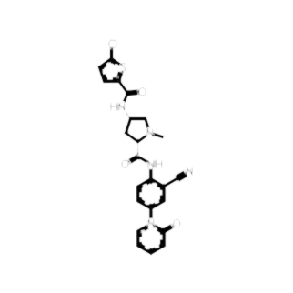 CN1C[C@@H](NC(=O)c2ccc(Cl)s2)C[C@H]1C(=O)Nc1ccc(-n2ccccc2=O)cc1C#N